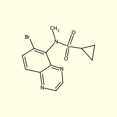 CN(c1c(Br)ccc2nccnc12)S(=O)(=O)C1CC1